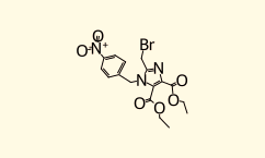 CCOC(=O)c1nc(CBr)n(Cc2ccc([N+](=O)[O-])cc2)c1C(=O)OCC